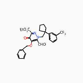 CCOC(=O)c1nn(CC2(c3cccc(C(F)(F)F)c3)CCCC2)c(C=O)c(OCc2ccccc2)c1=O